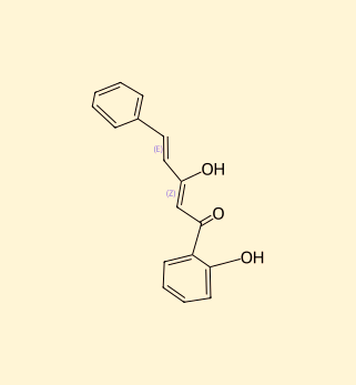 O=C(/C=C(O)/C=C/c1ccccc1)c1ccccc1O